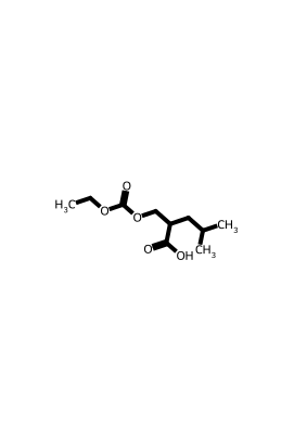 CCOC(=O)OCC(CC(C)C)C(=O)O